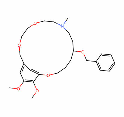 COc1cc2cc(c1OC)OCCCC(OCc1ccccc1)CCN(C)CCOCCOC2